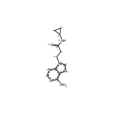 Nc1ncnc2c1ncn2CCC(=O)NC1CC1